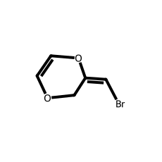 BrC=C1COC=CO1